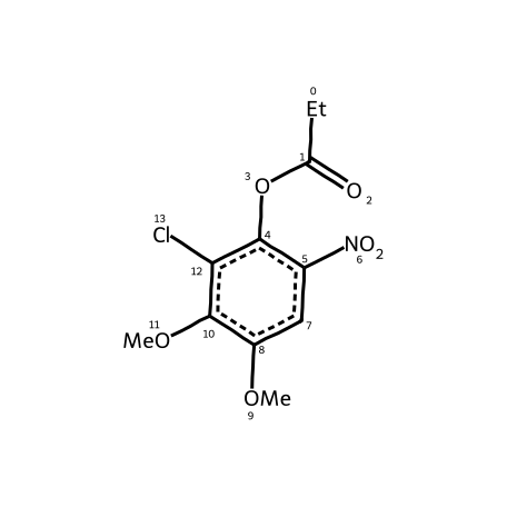 CCC(=O)Oc1c([N+](=O)[O-])cc(OC)c(OC)c1Cl